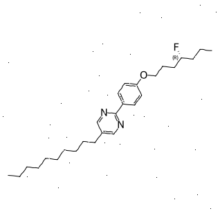 CCCCCCCCCCc1cnc(-c2ccc(OCCC[C@H](F)CCC)cc2)nc1